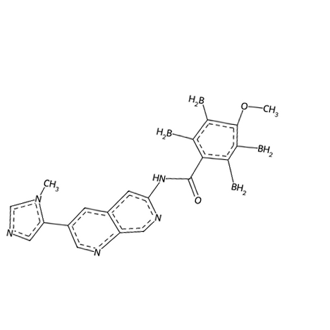 Bc1c(B)c(C(=O)Nc2cc3cc(-c4cncn4C)cnc3cn2)c(B)c(B)c1OC